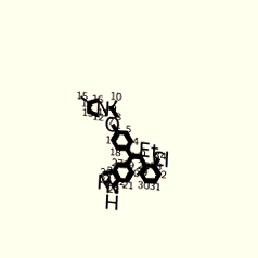 CCC(=C(c1ccc(OC[C@H](C)N2CC[C@@H](C)C2)cc1)c1ccc2[nH]ncc2c1)c1ccccc1Cl